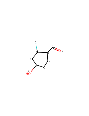 O=CC1CCC(O)CC1F